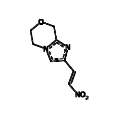 O=[N+]([O-])/C=C/c1cn2c(n1)COCC2